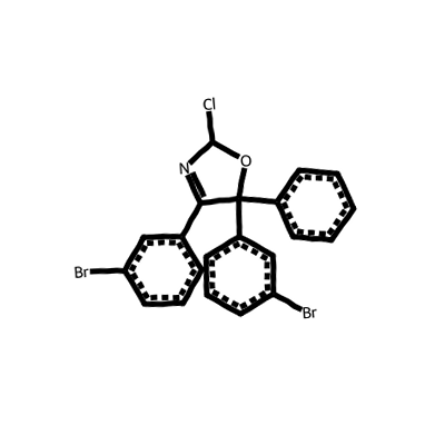 ClC1N=C(c2cccc(Br)c2)C(c2ccccc2)(c2cccc(Br)c2)O1